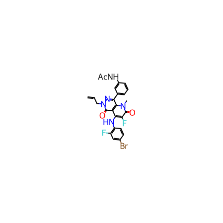 C=CCn1nc(-c2cccc(NC(C)=O)c2)c2c(c(Nc3ccc(Br)cc3F)c(F)c(=O)n2C)c1=O